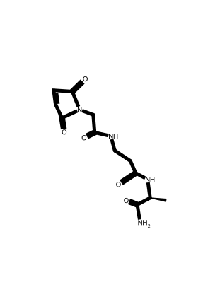 C[C@H](NC(=O)CCNC(=O)CN1C(=O)C=CC1=O)C(N)=O